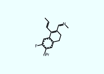 C/C=C/C1=C(/C=N\C)CCc2cc(CCC)c(F)cc21